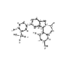 CC(C)c1nc2cnc(-c3ccc(F)c(C(F)(F)F)c3)cn2c1-c1c(F)cc(O)cc1F